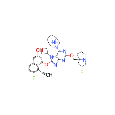 C#Cc1c(F)ccc2cc(O)cc(Oc3nc4nc(OC[C@@]56CCCN5C[C@H](F)C6)nc(N5CC6CCC(C5)N6)c4n3C3CCC3)c12